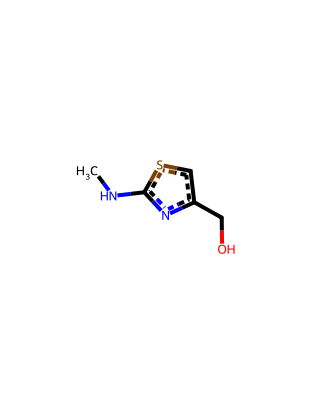 CNc1nc(CO)cs1